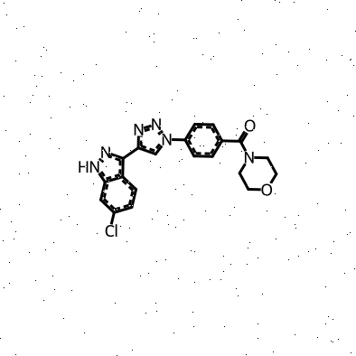 O=C(c1ccc(-n2cc(-c3n[nH]c4cc(Cl)ccc34)nn2)cc1)N1CCOCC1